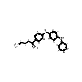 C=CCCC(=C)c1ccc(Sc2ccc(Sc3ccccc3)cc2)cc1